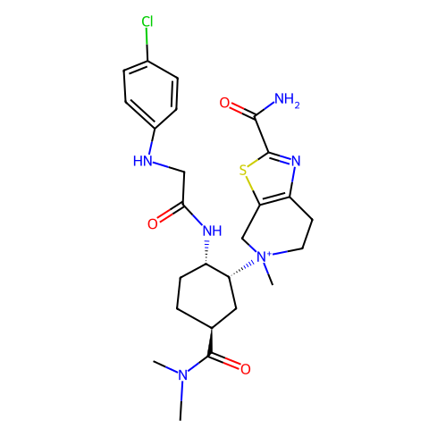 CN(C)C(=O)[C@H]1CC[C@H](NC(=O)CNc2ccc(Cl)cc2)[C@H]([N+]2(C)CCc3nc(C(N)=O)sc3C2)C1